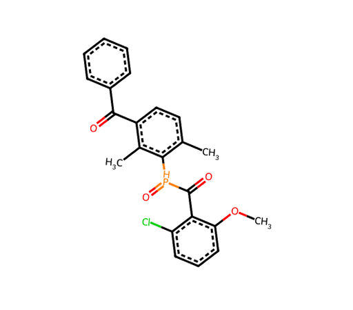 COc1cccc(Cl)c1C(=O)[PH](=O)c1c(C)ccc(C(=O)c2ccccc2)c1C